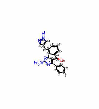 Cc1ccc(-c2nc(N)nc3c2C(=O)c2cccc(Cc4cn[nH]c4)c2-3)cc1